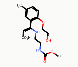 Cc1ccc(OCCO)c(C(=CC(=O)O)NCCNC(=O)OC(C)(C)C)c1